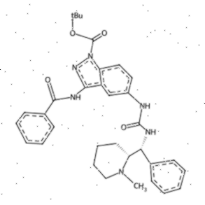 CN1CCCC[C@@H]1[C@H](NC(=O)Nc1ccc2c(c1)c(NC(=O)c1ccccc1)nn2C(=O)OC(C)(C)C)c1ccccc1